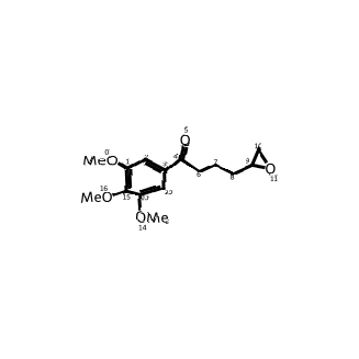 COc1cc(C(=O)CCCC2CO2)cc(OC)c1OC